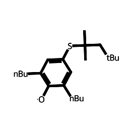 CCCCc1cc(SC(C)(C)CC(C)(C)C)cc(CCCC)c1[O]